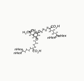 CCCCCCC(CCCCCC)CCCCC(CCCCOc1cc(CN(C)C)cc(OCCCCC(CCCCC(CCCCCC)CCCCCC)C(=O)O)c1)C(=O)O